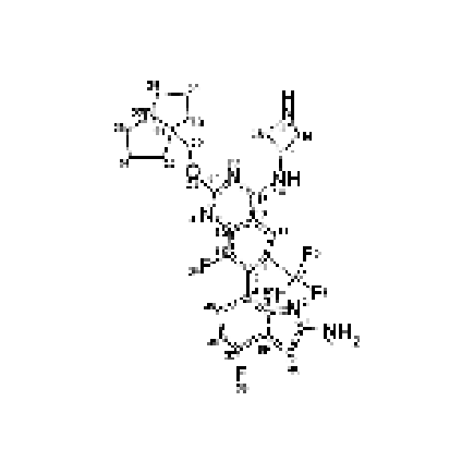 Nc1nc2c(-c3c(C(F)(F)F)cc4c(NC5CNC5)nc(OCC56CCCN5CCC6)nc4c3F)ccc(F)c2s1